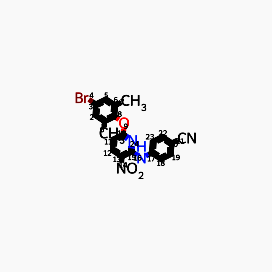 Cc1cc(Br)cc(C)c1Oc1ccc([N+](=O)[O-])c(Nc2ccc(C#N)cc2)n1